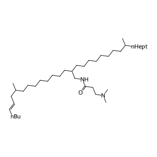 CCCC/C=C/CC(C)CCCCCCCCC(CCCCCCCCC(C)CCCCCCC)CNC(=O)CCN(C)C